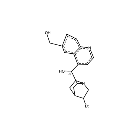 CCC1CN2CCC1CC2[C@H](O)c1ccnc2ccc(CO)cc12